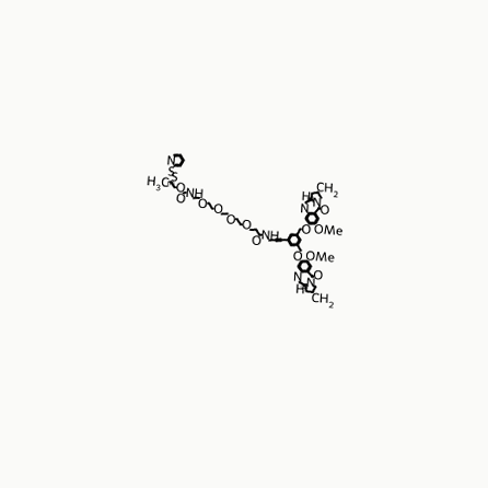 C=C1C[C@H]2C=Nc3cc(OCc4cc(C#CCNC(=O)CCOCCOCCOCCOCCNC(=O)OC[C@@H](C)SSc5ccccn5)cc(COc5cc6c(cc5OC)C(=O)N5CC(=C)C[C@H]5C=N6)c4)c(OC)cc3C(=O)N2C1